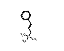 [CH3][Sn]([CH3])([CH3])[CH2]/C=C/c1ccccc1